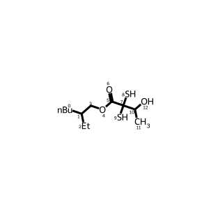 CCCCC(CC)COC(=O)C(S)(S)C(C)O